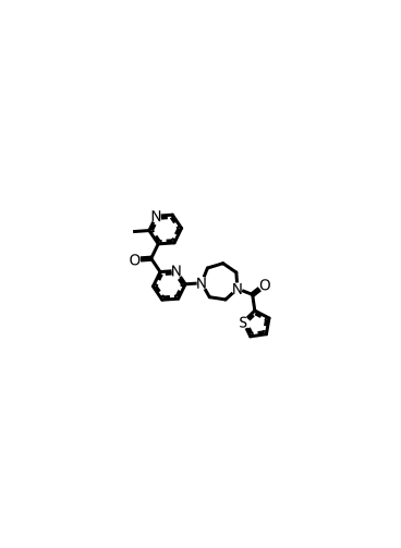 Cc1ncccc1C(=O)c1cccc(N2CCCN(C(=O)c3cccs3)CC2)n1